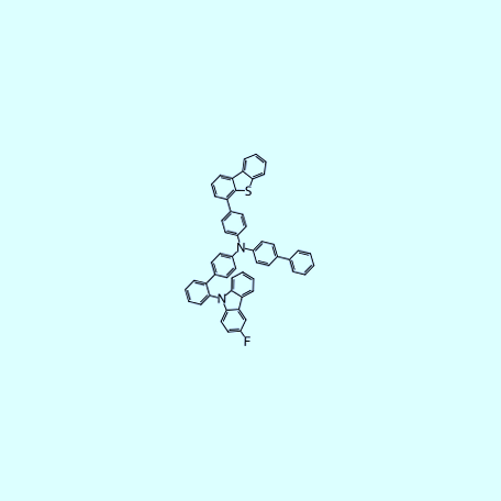 Fc1ccc2c(c1)c1ccccc1n2-c1ccccc1-c1ccc(N(c2ccc(-c3ccccc3)cc2)c2ccc(-c3cccc4c3sc3ccccc34)cc2)cc1